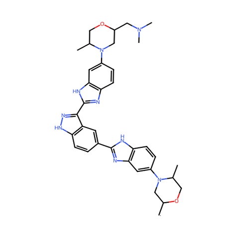 [CH2]C1CN(c2ccc3[nH]c(-c4ccc5[nH]nc(-c6nc7ccc(N8CC(CN(C)C)OCC8C)cc7[nH]6)c5c4)nc3c2)C(C)CO1